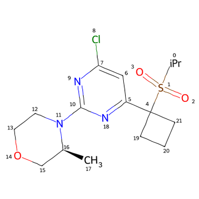 CC(C)S(=O)(=O)C1(c2cc(Cl)nc(N3CCOC[C@@H]3C)n2)CCC1